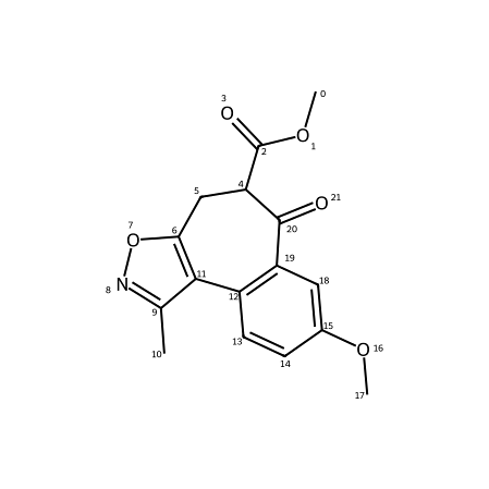 COC(=O)C1Cc2onc(C)c2-c2ccc(OC)cc2C1=O